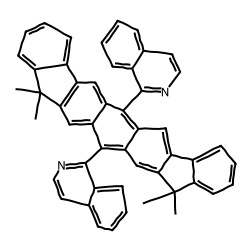 CC1(C)c2ccccc2-c2cc3c(-c4nccc5ccccc45)c4cc5c(cc4c(-c4nccc6ccccc46)c3cc21)C(C)(C)c1ccccc1-5